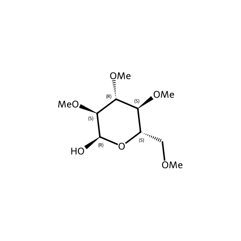 COC[C@@H]1O[C@@H](O)[C@@H](OC)[C@H](OC)[C@H]1OC